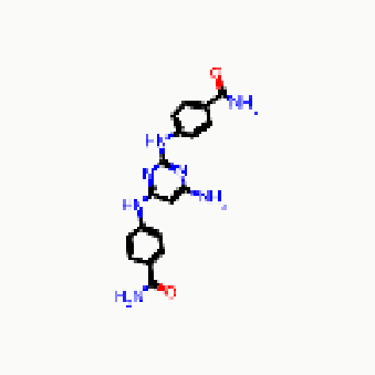 NC(=O)c1ccc(Nc2cc(N)nc(Nc3ccc(C(N)=O)cc3)n2)cc1